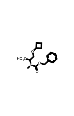 CN(C(=O)OCc1ccccc1)C(COC1CCC1)C(=O)O